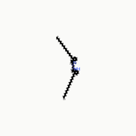 CCCCCCCCCCCCCCCCCCc1cccc2c1C(C)(C)C(/C=C/C=C1\Nc3cccc(CCCCCCCCCCCCCCCCCC)c3C1(C)C)=N2